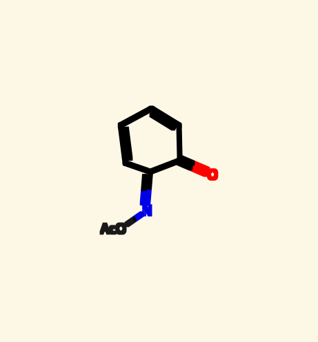 CC(=O)ON=C1C=CC=CC1=O